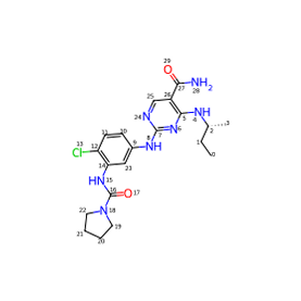 CC[C@@H](C)Nc1nc(Nc2ccc(Cl)c(NC(=O)N3CCCC3)c2)ncc1C(N)=O